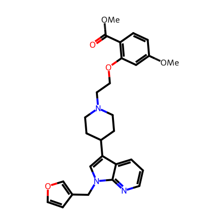 COC(=O)c1ccc(OC)cc1OCCN1CCC(c2cn(Cc3ccoc3)c3ncccc23)CC1